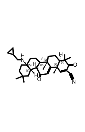 CC1(C)CC[C@]2(NCC3CC3)CC[C@]3(C)[C@H](C(=O)C=C4[C@@]5(C)C=C(C#N)C(=O)C(C)(C)[C@@H]5CC[C@]43C)[C@@H]2C1